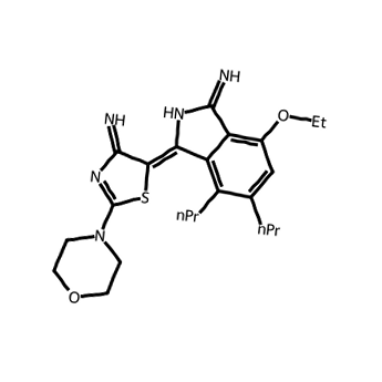 CCCc1cc(OCC)c2c(c1CCC)C(=C1SC(N3CCOCC3)=NC1=N)NC2=N